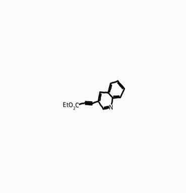 CCOC(=O)C#Cc1cnc2ccccc2c1